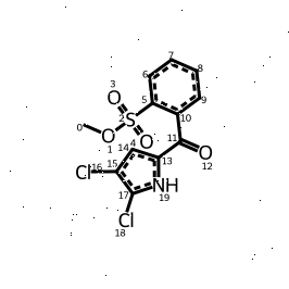 COS(=O)(=O)c1ccccc1C(=O)c1cc(Cl)c(Cl)[nH]1